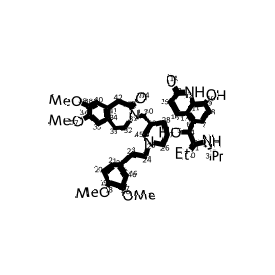 CCC(NC(C)C)C(O)c1ccc(O)c2[nH]c(=O)ccc12.COc1ccc(CCN2CCC[C@H](CN3CCc4cc(OC)c(OC)cc4CC3=O)C2)cc1OC